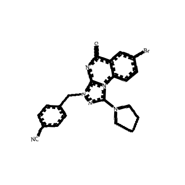 N#Cc1ccc(Cn2nc(N3CCCC3)n3c4ccc(Br)cc4c(=O)nc23)cc1